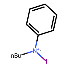 CCCC[N+](I)c1ccccc1